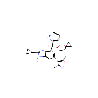 Cc1noc(C)c1-c1cc([C@](O)(c2cccnn2)[C@@H]2CCC3(CC3)O2)c2nc(C3CC3)n(N)c2c1